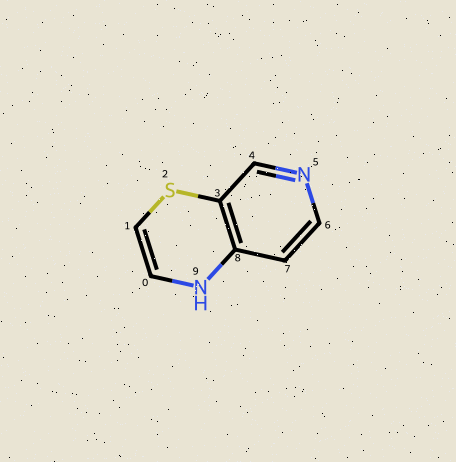 C1=CSc2cnccc2N1